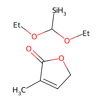 CC1=CCOC1=O.CCOC([SiH3])OCC